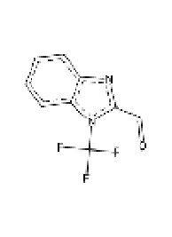 O=Cc1nc2ccccc2n1C(F)(F)F